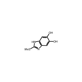 [CH2]Sc1nc2cc(O)c(O)cc2[nH]1